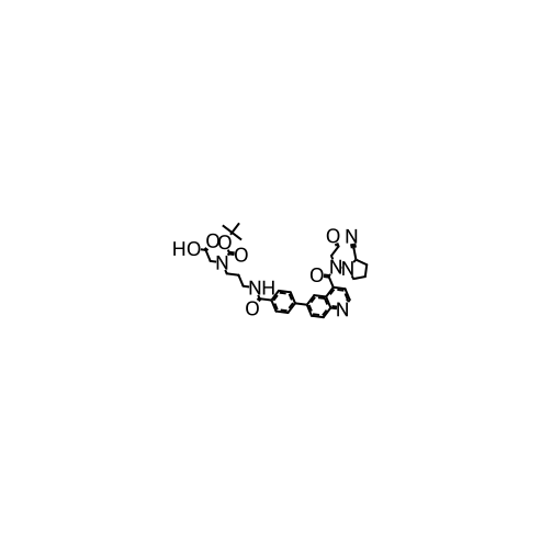 CC(C)(C)OC(=O)N(CCCNC(=O)c1ccc(-c2ccc3nccc(C(=O)N(CC=O)N4CCCC4C#N)c3c2)cc1)CC(=O)O